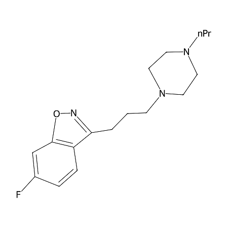 CCCN1CCN(CCCc2noc3cc(F)ccc23)CC1